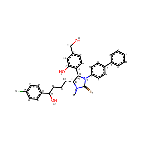 CN1C(=S)N(c2ccc(-c3ccccc3)cc2)[C@H](c2ccc(CO)cc2O)[C@H]1CCCC(O)c1ccc(F)cc1